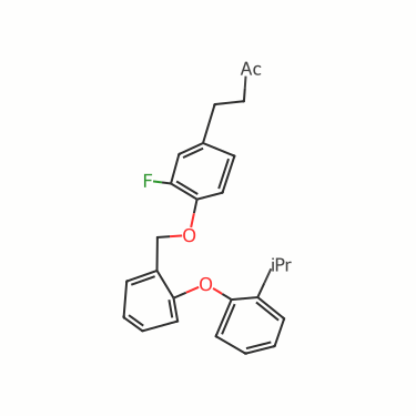 CC(=O)CCc1ccc(OCc2ccccc2Oc2ccccc2C(C)C)c(F)c1